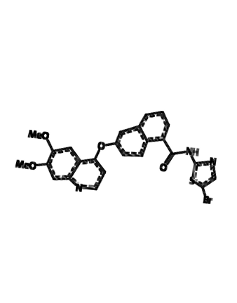 COc1cc2nccc(Oc3ccc4c(C(=O)Nc5ncc(Br)s5)cccc4c3)c2cc1OC